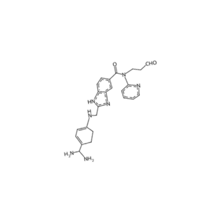 NC(N)C1=CC=C(NCc2nc3cc(C(=O)N(CCC=O)c4ccccn4)ccc3[nH]2)CC1